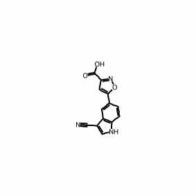 N#Cc1c[nH]c2ccc(-c3cc(C(=O)O)no3)cc12